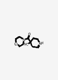 N#CC1(C(=O)N2CCOCC2)CCNCC1